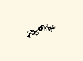 CC1Cc2c(ncnc2Oc2ccc3c(ccn3C(=O)Nc3cc(C(F)(F)F)n(C)n3)c2)CN1C(=O)C1CC1